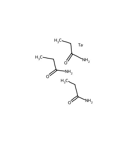 CCC(N)=O.CCC(N)=O.CCC(N)=O.[Ta]